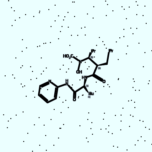 CC[C@H](C)[C@H](NC(=O)[C@H](CC(C)C)[C@H](C(C)C)N(O)C(=O)O)C(=O)Nc1ccccn1